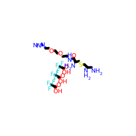 O=C(O)C(F)(F)F.O=C(O)C(F)(F)F.O=C(O)C(F)(F)F.[N-]=[N+]=NCCOCCOCCNC(=O)[C@@H](N)CSC[C@@H](N)CN